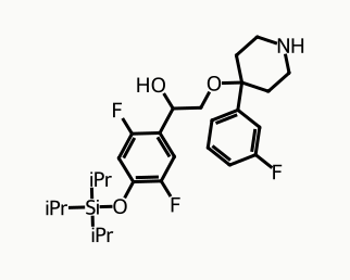 CC(C)[Si](Oc1cc(F)c(C(O)COC2(c3cccc(F)c3)CCNCC2)cc1F)(C(C)C)C(C)C